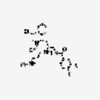 CCC(CN1CC[C@@H](CNC(=O)c2ccc(Cl)c(Cl)c2)N[C@@H](CCNC(C)C)C1=O)c1ccccc1